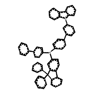 c1ccc(-c2ccc(N(c3ccc(-c4cccc(-n5c6ccccc6c6ccccc65)c4)cc3)c3ccc4c(c3)C(c3ccccc3)(c3ccccc3)c3ccccc3-4)cc2)cc1